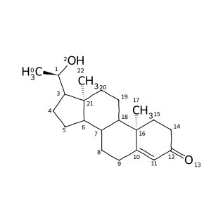 C[C@@H](O)C1CCC2C3CCC4=CC(=O)CC[C@]4(C)C3CC[C@@]21C